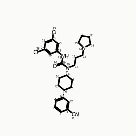 N#Cc1cccc([C@H]2CC[C@@H](N(CCCN3CCCC3)C(=O)Nc3cc(Cl)cc(Cl)c3)CC2)c1